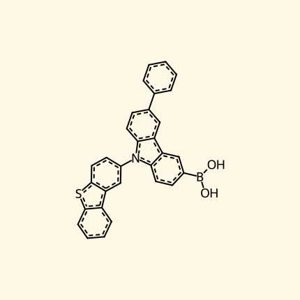 OB(O)c1ccc2c(c1)c1cc(-c3ccccc3)ccc1n2-c1ccc2sc3ccccc3c2c1